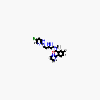 CCN(CCC(=N)/C=C\Nc1ccc(F)cn1)C(=O)c1cc(C)ccc1-c1ncccn1